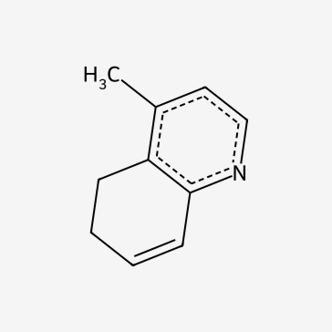 Cc1ccnc2c1CCC=C2